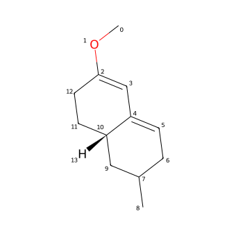 COC1=CC2=CCC(C)C[C@@H]2CC1